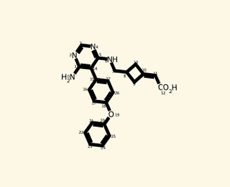 Nc1ncnc(NCC2CC(=CC(=O)O)C2)c1-c1ccc(Oc2ccccc2)cc1